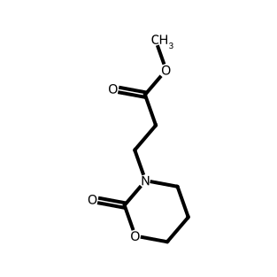 COC(=O)CCN1CCCOC1=O